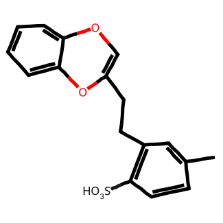 Cc1ccc(S(=O)(=O)O)c(CCC2=COc3ccccc3O2)c1